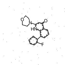 O=c1cc(N2CCOCC2)[nH]c2c(-c3ccccc3F)cccc12